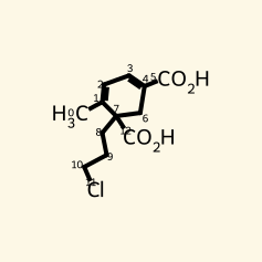 CC1=CC=C(C(=O)O)CC1(CCCCl)C(=O)O